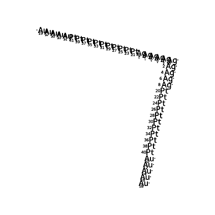 [Ag].[Ag].[Ag].[Ag].[Ag].[Ag].[Ag].[Ag].[Ag].[Ag].[Au].[Au].[Au].[Au].[Au].[Au].[Au].[Au].[Au].[Au].[Pt].[Pt].[Pt].[Pt].[Pt].[Pt].[Pt].[Pt].[Pt].[Pt].[Pt].[Pt].[Pt].[Pt].[Pt].[Pt].[Pt].[Pt].[Pt].[Pt].[Pt].[Pt]